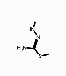 CSC(N)=NNI